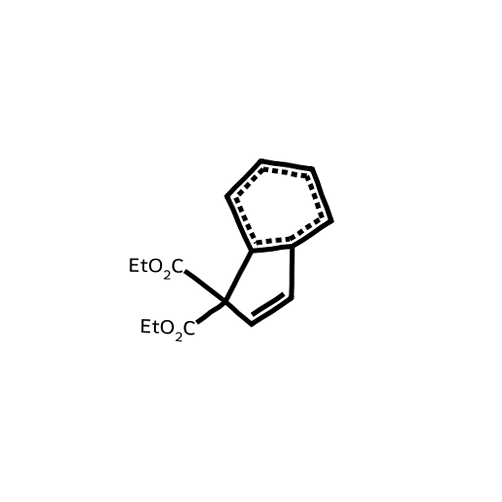 CCOC(=O)C1(C(=O)OCC)C=Cc2ccccc21